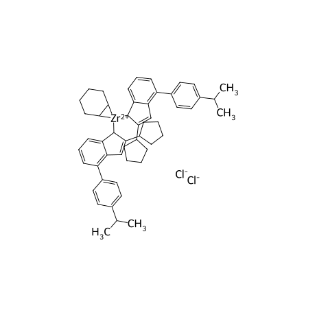 CC(C)c1ccc(-c2cccc3c2C=C(C2CCCC2)[CH]3[Zr+2]2([CH]3C(C4CCCC4)=Cc4c(-c5ccc(C(C)C)cc5)cccc43)[CH]3CCCC[CH]32)cc1.[Cl-].[Cl-]